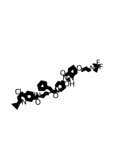 O=C(NCCC[C@H](Cc1ccccc1)C(=O)N1CCC(O)(Cn2cnc3cc(OCCCN4CC(F)(F)C4)ccc3c2=O)CC1)c1ccc2c(Cl)cc(C3CC3)nc2c1